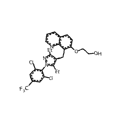 CCc1nn(-c2c(Cl)cc(C(F)(F)F)cc2Cl)c(CC)c1Cc1c(OCCO)ccc2cccnc12